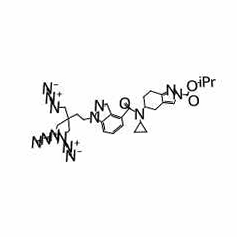 CC(C)OC(=O)n1cc2c(n1)CCC(N(C(=O)c1cccc3c1cnn3CCC(CN=[N+]=[N-])(CN=[N+]=[N-])CN=[N+]=[N-])C1CC1)C2